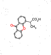 CC(C(=O)O)c1cccc2c(=O)c3ccccc3oc12